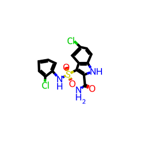 NC(=O)c1[nH]c2ccc(Cl)cc2c1S(=O)(=O)Nc1ccccc1Cl